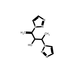 C=C(C(O)C(C)n1ccnn1)n1ccnn1